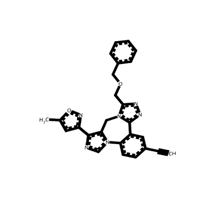 C#Cc1ccc2c(c1)-c1nnc(COCc3ccccc3)n1Cc1c(-c3cc(C)on3)ncn1-2